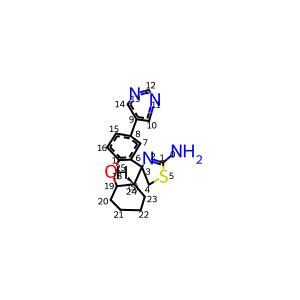 NC1=NC2(CS1)c1cc(-c3cncnc3)ccc1OC1CCCC[C@H]12